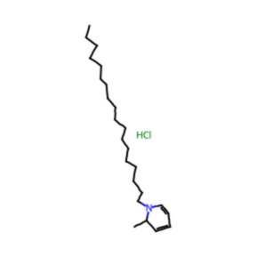 CCCCCCCCCCCCCCCCCCN1C=CC=CC1C.Cl